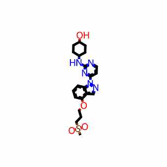 CS(=O)(=O)CCCOc1cccc2c1cnn2-c1ccnc(NC2CCC(O)CC2)n1